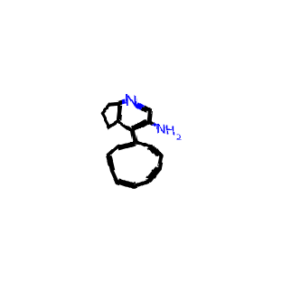 Nc1cnc2c(c1-c1ccccccccc1)CCC2